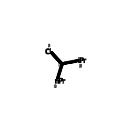 C[CH]CC(Cl)C(C)C